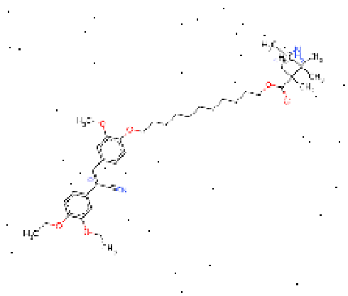 CCOc1ccc(/C(C#N)=C/c2ccc(OCCCCCCCCCCCOC(=O)C(C)(/C=C(/C)N)C(C)(C)C)c(OC)c2)cc1OCC